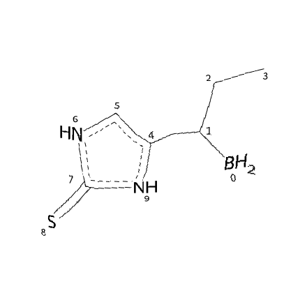 BC(CC)c1c[nH]c(=S)[nH]1